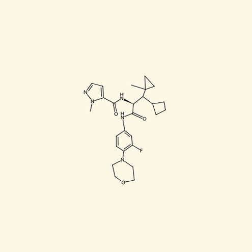 Cn1nccc1C(=O)N[C@H](C(=O)Nc1ccc(N2CCOCC2)c(F)c1)C(C1CCC1)C1(C)CC1